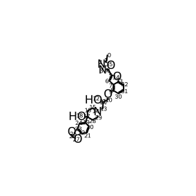 Cc1nnc(-c2cc3c(OC[C@@H](O)CN4CCC(O)(c5ccc6c(c5)OCO6)CC4)cccc3o2)o1